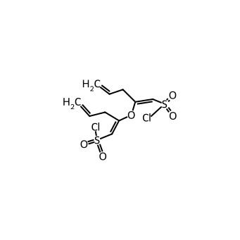 C=CCC(=CS(=O)(=O)Cl)OC(=CS(=O)(=O)Cl)CC=C